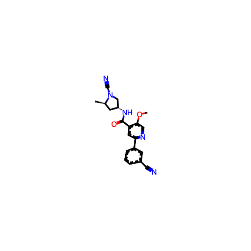 COc1cnc(-c2cccc(C#N)c2)cc1C(=O)N[C@@H]1C[C@@H](C)N(C#N)C1